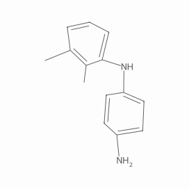 Cc1cccc(Nc2ccc(N)cc2)c1C